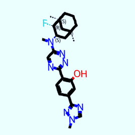 CN(c1cnc(-c2ccc(-c3ncn(C)n3)cc2O)nn1)[C@H]1C[C@]2(C)CCC[C@@](C)(C2)[C@H]1F